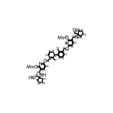 COc1nc(OCC2=C(C)C(c3cccc(COc4ccc(CNC5(CO)CCCC5)c(OC)n4)c3C)CC=C2)ccc1CNC1(CO)CCCC1